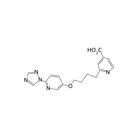 O=C(O)c1ccnc(CCCCOc2ccc(-n3cncn3)nc2)c1